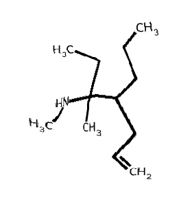 C=CCC(CCC)C(C)(CC)NC